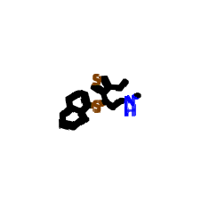 CCc1cscc1C(CCNC)Sc1cccc2ccccc12